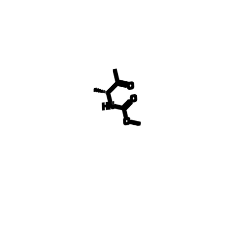 COC(=O)N[C@H](C)C(C)=O